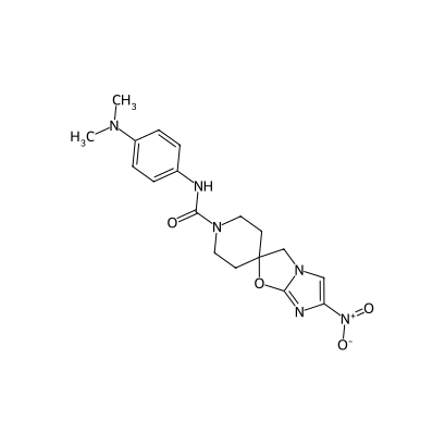 CN(C)c1ccc(NC(=O)N2CCC3(CC2)Cn2cc([N+](=O)[O-])nc2O3)cc1